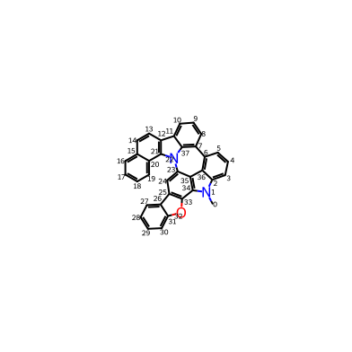 Cn1c2cccc3c4cccc5c6ccc7ccccc7c6n(c6cc7c8ccccc8oc7c1c6c32)c45